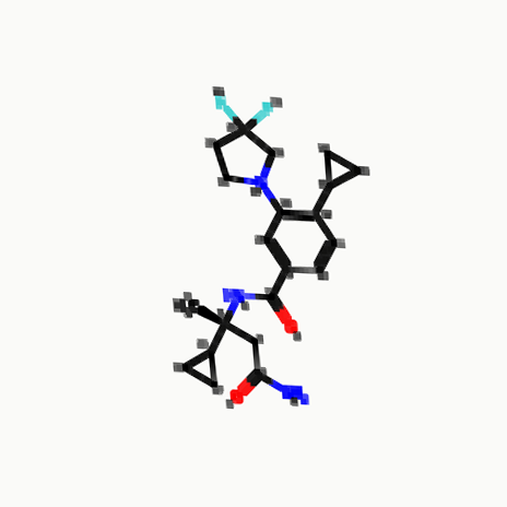 C[C@](CC(N)=O)(NC(=O)c1ccc(C2CC2)c(N2CCC(F)(F)C2)c1)C1CC1